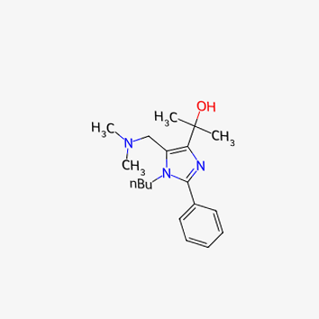 CCCCn1c(-c2ccccc2)nc(C(C)(C)O)c1CN(C)C